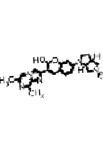 Cc1cn2cc(C3=Cc4ccc(N5CC[C@H]6CN(C)C[C@H]65)cc4OC3O)nc2c(C)n1